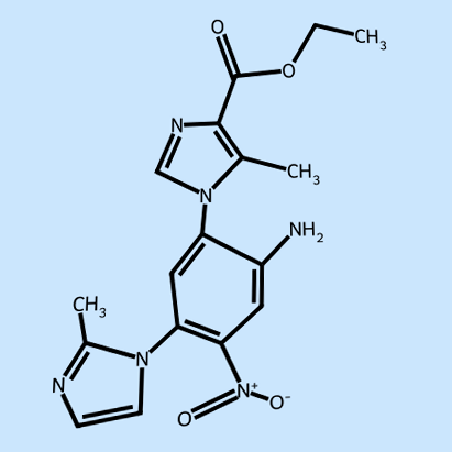 CCOC(=O)c1ncn(-c2cc(-n3ccnc3C)c([N+](=O)[O-])cc2N)c1C